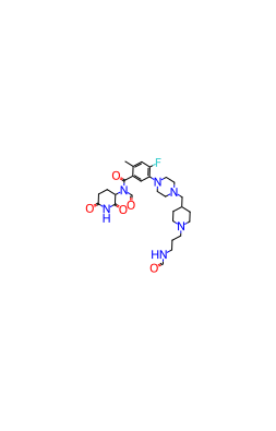 Cc1cc(F)c(N2CCN(CC3CCN(CCCNC=O)CC3)CC2)cc1C(=O)N(C=O)C1CCC(=O)NC1=O